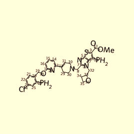 COC(=O)c1sc2nc(CN3CC=C(c4cccc(OCc5ccc(Cl)cc5P)n4)CC3)n(CC3CCO3)c2c1P